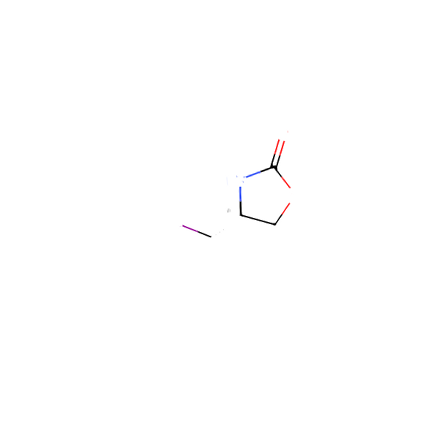 O=C1N[C@@H](CI)CO1